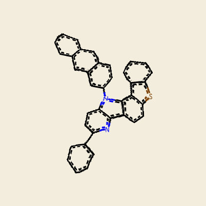 c1ccc(-c2ccc3c(n2)c2ccc4sc5ccccc5c4c2n3-c2ccc3cc4ccccc4cc3c2)cc1